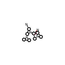 N#Cc1cc(-c2ccccc2-n2c3ccccc3c3ccccc32)cc(-n2c3ccc(C#N)cc3c3ccc(-n4c5ccccc5c5ccccc54)cc32)c1